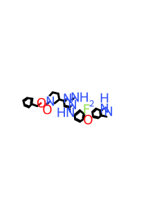 Nc1nc(Nc2ccc(Oc3ccc4[nH]ncc4c3)c(F)c2)cc(C2CCCN(C(=O)OCc3ccccc3)C2)n1